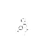 C[C@@H](O)C(=O)NCc1nc2ncccn2c1-c1ccc(C(F)(F)F)cc1